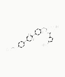 CC(C)(C)COc1ccc(-c2cnc(-c3ccc(C[C@H](NC(=O)c4ccc(C(C)(C)C)s4)C(=O)O)cc3)nc2)cc1